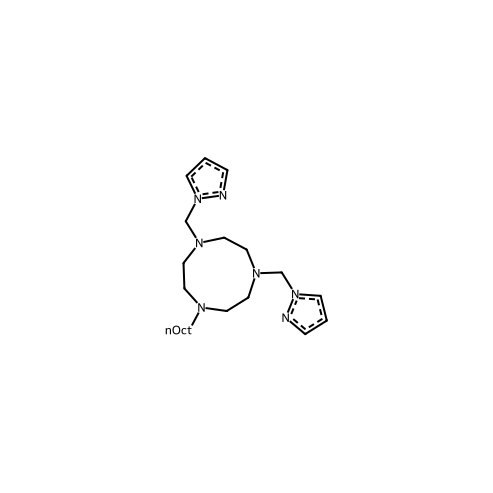 CCCCCCCCN1CCN(Cn2cccn2)CCN(Cn2cccn2)CC1